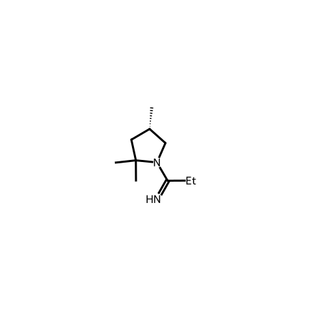 CCC(=N)N1C[C@@H](C)CC1(C)C